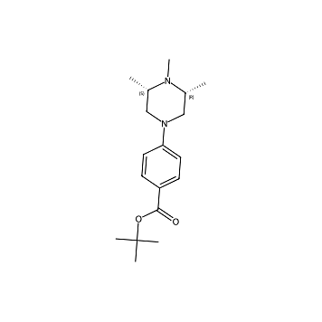 C[C@@H]1CN(c2ccc(C(=O)OC(C)(C)C)cc2)C[C@H](C)N1C